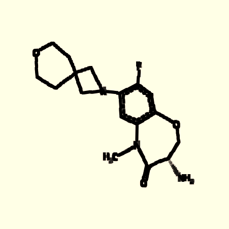 CN1C(=O)[C@@H](N)COc2cc(F)c(N3CC4(CCOCC4)C3)cc21